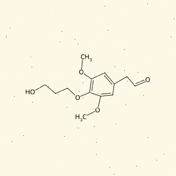 COc1cc(CC=O)cc(OC)c1OCCCO